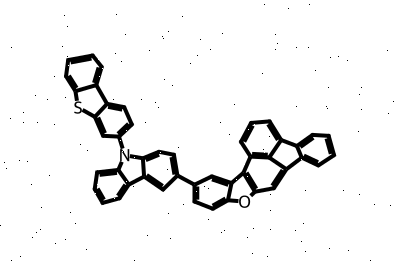 c1ccc2c(c1)-c1cccc3c1c-2cc1oc2ccc(-c4ccc5c(c4)c4ccccc4n5-c4ccc5c(c4)sc4ccccc45)cc2c13